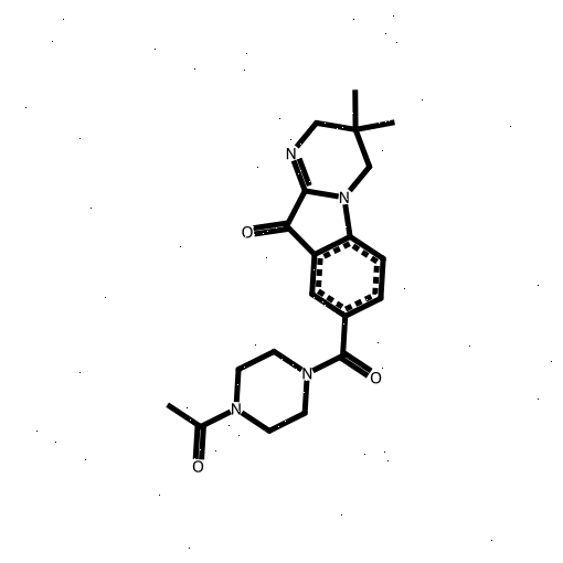 CC(=O)N1CCN(C(=O)c2ccc3c(c2)C(=O)C2=NCC(C)(C)CN23)CC1